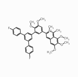 COc1cc(-c2cc3cc(OC)c(OC)c(OC)c3c(C)[n+]2C)cc(-c2cc(-c3ccc(F)cc3)cc(-c3ccc(F)cc3)c2)c1OC